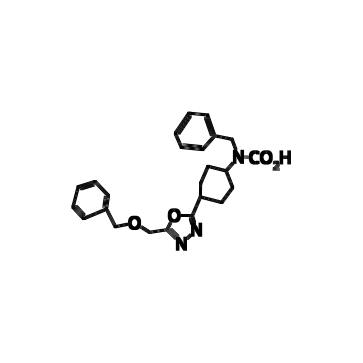 O=C(O)N(Cc1ccccc1)C1CCC(c2nnc(COCc3ccccc3)o2)CC1